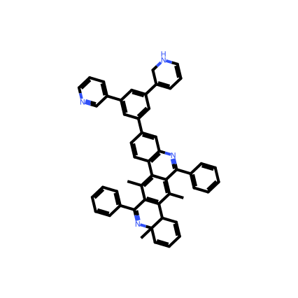 Cc1c2c(c(C)c3c1c(-c1ccccc1)nc1cc(-c4cc(C5=CC=CNC5)cc(-c5cccnc5)c4)ccc13)C(c1ccccc1)=NC1(C)C=CC=CC21